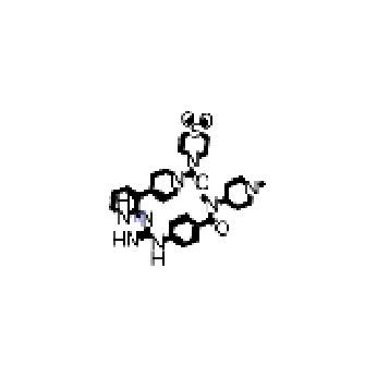 CN1CCC(N(C)C(=O)c2ccc(NC(=N)/N=c3\[nH]cccc3C3=CCN(C(=O)N4CCS(=O)(=O)CC4)CC3)cc2)CC1